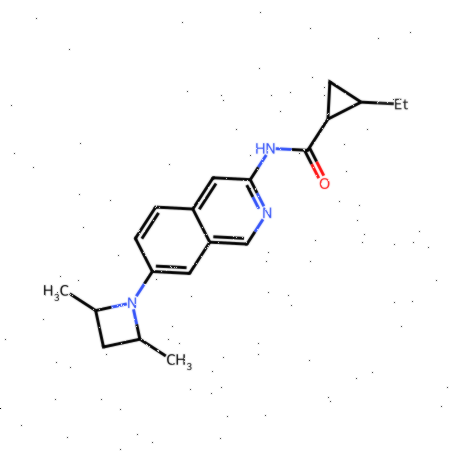 CCC1CC1C(=O)Nc1cc2ccc(N3C(C)CC3C)cc2cn1